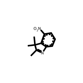 CC1=Nc2cccc([N+](=O)[O-])c2C1(C)C